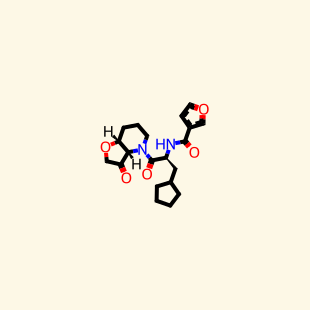 O=C(N[C@@H](CC1CCCC1)C(=O)N1CCC[C@H]2OCC(=O)[C@H]21)c1ccoc1